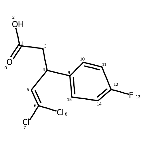 O=C(O)CC(C=C(Cl)Cl)c1ccc(F)cc1